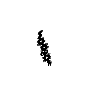 CCCCC1CCC(c2ccc(OC(=O)C3CCC(C#N)CC3)cc2)CC1